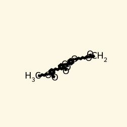 C=CC(=O)OCCCCCCOc1ccc(C(=O)Oc2ccc(CCc3ccc(OCCCCC)c(C=O)c3)cc2C=O)cc1